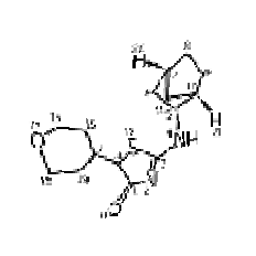 O=C1N=C(N[C@H]2C[C@@H]3CC[C@H]2C3)SC1C1CCOCC1